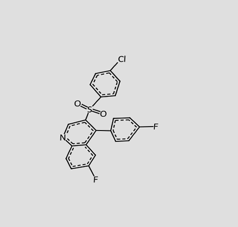 O=S(=O)(c1ccc(Cl)cc1)c1cnc2ccc(F)cc2c1-c1ccc(F)cc1